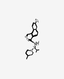 CC1CCN(C[C@@H](NC(=O)c2ccc3cc(O)ccc3c2C=O)C(C)C)CC1